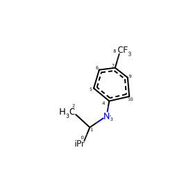 CC(C)C(C)[N]c1ccc(C(F)(F)F)cc1